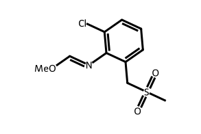 COC=Nc1c(Cl)cccc1CS(C)(=O)=O